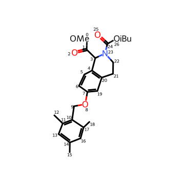 COC(=O)C1c2ccc(OCc3c(C)cc(C)cc3C)cc2CCN1C(=O)OCC(C)C